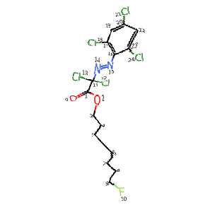 O=C(OCCCCCCCF)C(Cl)(Cl)/N=N/c1c(Cl)cc(Cl)cc1Cl